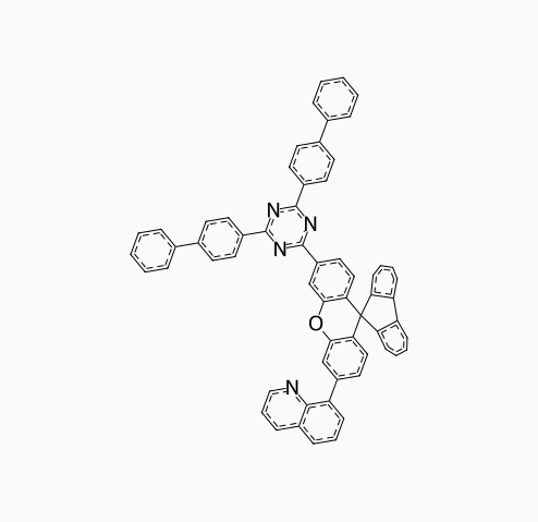 c1ccc(-c2ccc(-c3nc(-c4ccc(-c5ccccc5)cc4)nc(-c4ccc5c(c4)Oc4cc(-c6cccc7cccnc67)ccc4C54c5ccccc5-c5ccccc54)n3)cc2)cc1